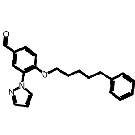 O=Cc1ccc(OCCCCCc2ccccc2)c(-n2cccn2)c1